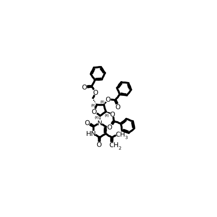 C=C(C)c1cn([C@@H]2O[C@H](COC(=O)c3ccccc3)[C@@H](OC(=O)c3ccccc3)[C@H]2OC(=O)c2ccccc2)c(=O)[nH]c1=O